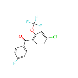 O=C(c1ccc(F)cc1)c1ccc(Cl)cc1OC(F)(F)F